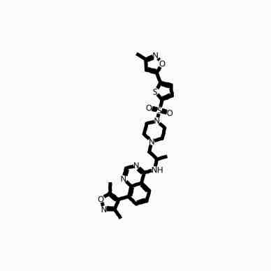 Cc1cc(-c2ccc(S(=O)(=O)N3CCN(CC(C)Nc4ncnc5c(-c6c(C)noc6C)cccc45)CC3)s2)on1